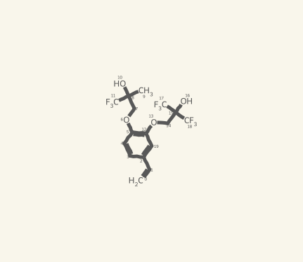 C=Cc1ccc(OCC(C)(O)C(F)(F)F)c(OCC(O)(C(F)(F)F)C(F)(F)F)c1